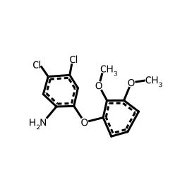 COc1cccc(Oc2cc(Cl)c(Cl)cc2N)c1OC